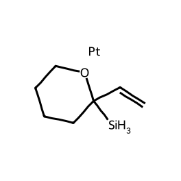 C=CC1([SiH3])CCCCO1.[Pt]